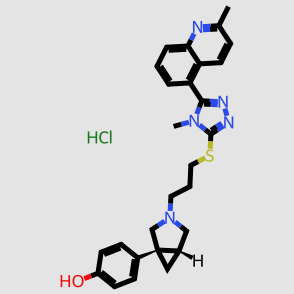 Cc1ccc2c(-c3nnc(SCCCN4C[C@@H]5C[C@]5(c5ccc(O)cc5)C4)n3C)cccc2n1.Cl